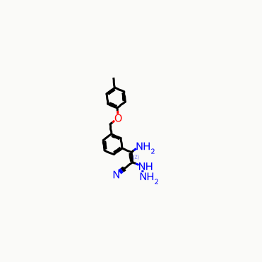 Cc1ccc(OCc2cccc(/C(N)=C(\C#N)NN)c2)cc1